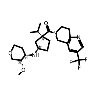 CO[C@@H]1COCC[C@H]1N[C@@H]1CC[C@@](C(=O)N2CCc3ncc(C(F)(F)F)cc3C2)(C(C)C)C1